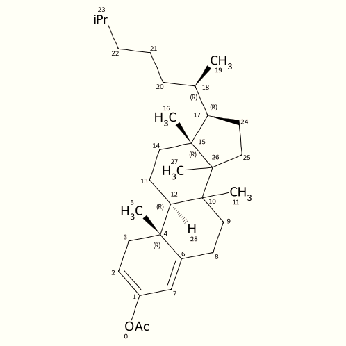 CC(=O)OC1=CC[C@@]2(C)C(=C1)CCC1(C)[C@@H]2CC[C@]2(C)[C@@H]([C@H](C)CCCC(C)C)CCC12C